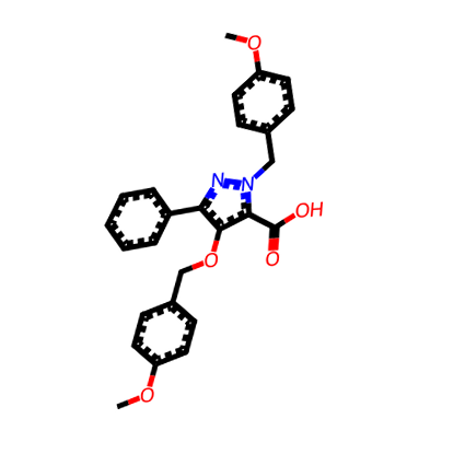 COc1ccc(COc2c(-c3ccccc3)nn(Cc3ccc(OC)cc3)c2C(=O)O)cc1